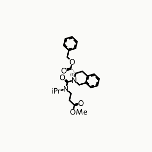 COC(=O)CCN(C(=O)N1Cc2ccccc2C[C@H]1C(=O)OCc1ccccc1)C(C)C